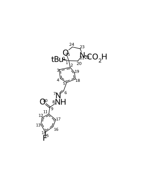 CC(C)(C)[C@]1(c2ccc(/C=N/NC(=O)c3ccc(F)cc3)cc2)CN(C(=O)O)CCO1